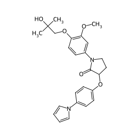 COc1cc(N2CCC(Oc3ccc(-n4cccc4)cc3)C2=O)ccc1OCC(C)(C)O